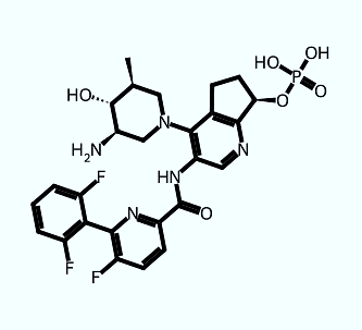 C[C@H]1CN(c2c(NC(=O)c3ccc(F)c(-c4c(F)cccc4F)n3)cnc3c2CC[C@H]3OP(=O)(O)O)C[C@@H](N)[C@@H]1O